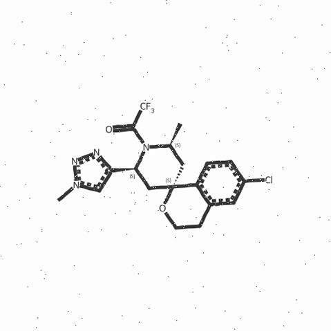 C[C@H]1C[C@@]2(C[C@@H](c3cn(C)nn3)N1C(=O)C(F)(F)F)OCCc1cc(Cl)ccc12